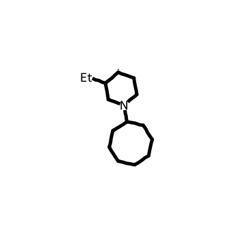 CCC1[CH]CCN(C2CCCCCCC2)C1